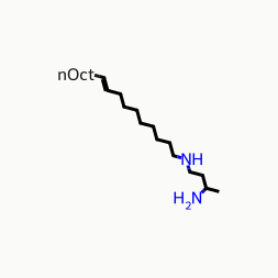 CCCCCCCCC=CCCCCCCCCNCCC(C)N